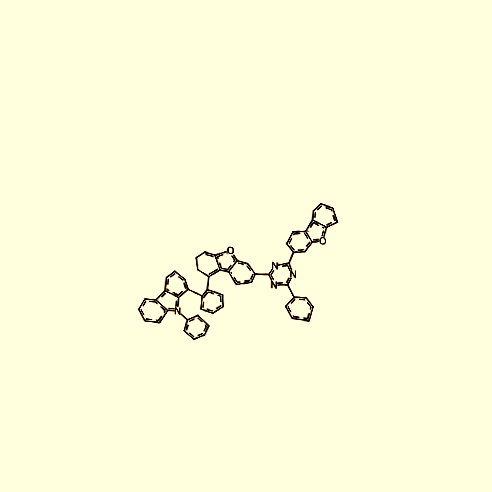 C1=c2oc3cc(-c4nc(-c5ccccc5)nc(-c5ccc6c(c5)oc5ccccc56)n4)ccc3c2=C(c2ccccc2-c2cccc3c4ccccc4n(-c4ccccc4)c23)CC1